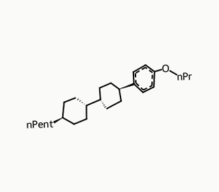 CCCCC[C@H]1CC[C@H]([C@H]2CC[C@H](c3ccc(OCCC)cc3)CC2)CC1